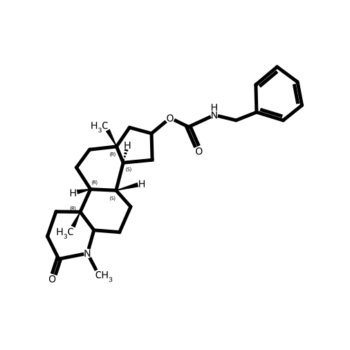 CN1C(=O)CC[C@@]2(C)C1CC[C@@H]1[C@H]2CC[C@]2(C)CC(OC(=O)NCc3ccccc3)C[C@@H]12